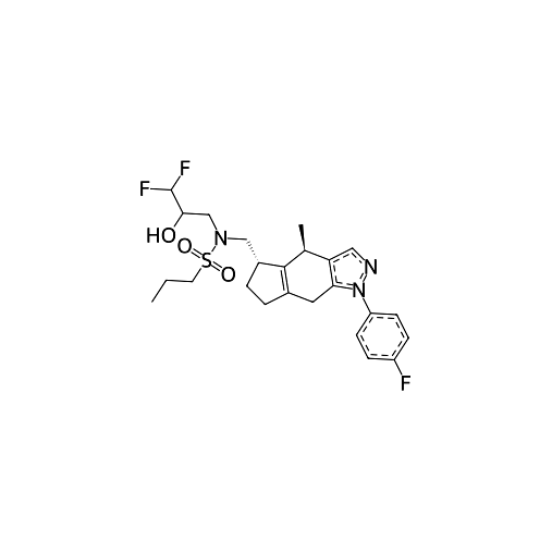 CCCS(=O)(=O)N(CC(O)C(F)F)C[C@H]1CCC2=C1[C@@H](C)c1cnn(-c3ccc(F)cc3)c1C2